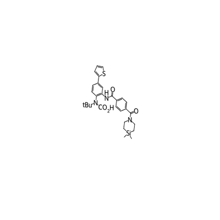 CC(C)(C)N(C(=O)O)c1ccc(-c2cccs2)cc1NC(=O)c1ccc(C(=O)N2CC[Si](C)(C)CC2)cc1